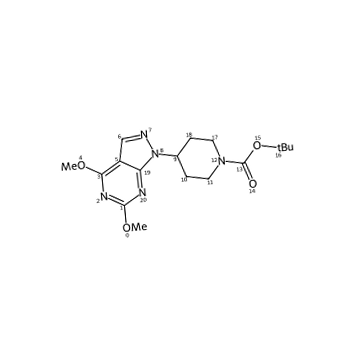 COc1nc(OC)c2cnn(C3CCN(C(=O)OC(C)(C)C)CC3)c2n1